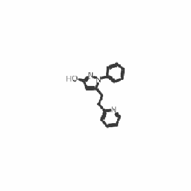 Oc1cc(CCc2ccccn2)n(-c2ccccc2)n1